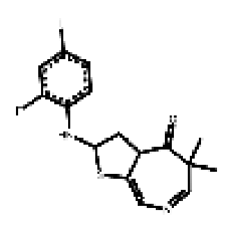 CC1(C)C=NC=C2SC(Nc3ccc(I)cc3F)CC2C1=O